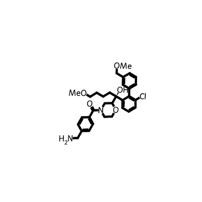 COCCCC[C@@](O)(c1cccc(Cl)c1-c1cccc(COC)c1)C1CN(C(=O)c2ccc(CN)cc2)CCO1